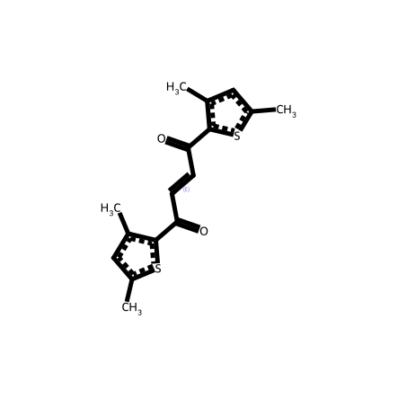 Cc1cc(C)c(C(=O)/C=C/C(=O)c2sc(C)cc2C)s1